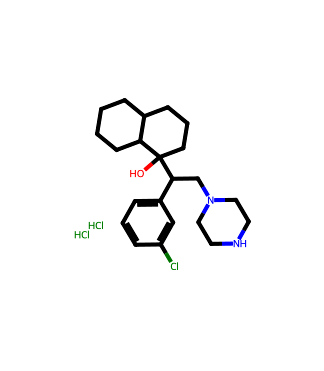 Cl.Cl.OC1(C(CN2CCNCC2)c2cccc(Cl)c2)CCCC2CCCCC21